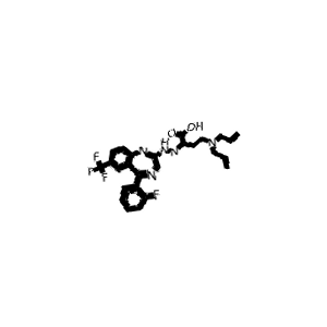 CCCN(CCC)CC/C(=N/NC1=Nc2ccc(C(F)(F)F)cc2C(c2ccccc2F)=NC1)C(=O)O